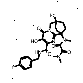 [CH2]CC12CCC(N(C)C(=O)C(=O)N(C)C)(CC1)c1nc(C(=O)NCc3ccc(F)cc3)c(O)c(=O)n1C2